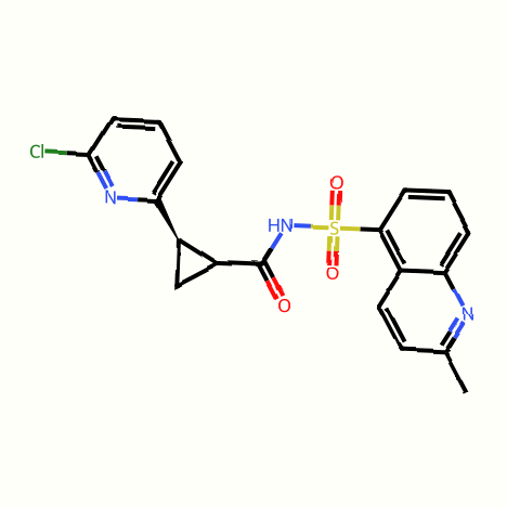 Cc1ccc2c(S(=O)(=O)NC(=O)C3C[C@H]3c3cccc(Cl)n3)cccc2n1